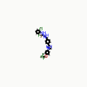 Fc1cccc(Cl)c1NC(=S)N/N=C/c1ccc(-c2ncn(-c3ccc(OC(F)(F)F)cc3)n2)cc1